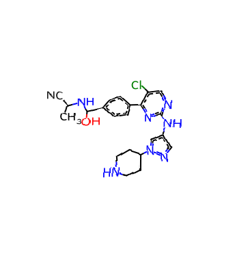 C[C@@H](C#N)NC(O)c1ccc(-c2nc(Nc3cnn(C4CCNCC4)c3)ncc2Cl)cc1